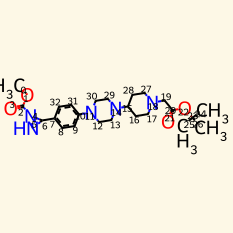 COC(=O)N1NC1c1ccc(N2CCN(C3CCN(CC(=O)OC(C)(C)C)CC3)CC2)cc1